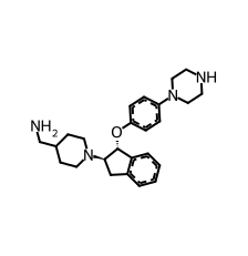 NCC1CCN([C@@H]2Cc3ccccc3[C@H]2Oc2ccc(N3CCNCC3)cc2)CC1